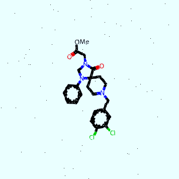 COC(=O)CN1CN(c2ccccc2)C2(CCN(Cc3ccc(Cl)c(Cl)c3)CC2)C1=O